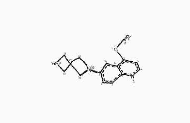 CC(C)Oc1ccnc2ccc(N3CC4(CNC4)C3)cc12